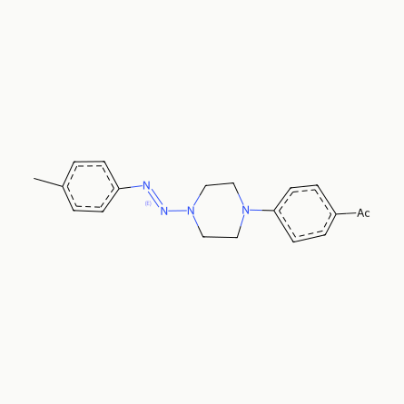 CC(=O)c1ccc(N2CCN(/N=N/c3ccc(C)cc3)CC2)cc1